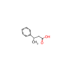 CC([CH]C(=O)O)c1ccccc1